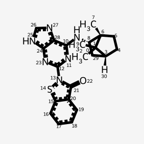 CC1(C)[C@@H]2CC[C@@]1(C)[C@@H](Nc1nc(-n3sc4ccccc4c3=O)nc3[nH]cnc13)C2